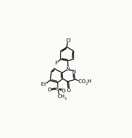 CCc1ccc2c(c1S(C)(=O)=O)c(=O)c(C(=O)O)nn2-c1ccc(Cl)cc1F